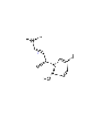 CN(C)/C=C/C(=O)c1cc(I)ccc1O